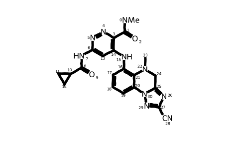 CNC(=O)c1nnc(NC(=O)C2CC2)cc1Nc1cccc2c1N(C)Cc1nc(C#N)nn1-2